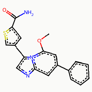 COc1cc(-c2ccccc2)cc2ncc(-c3csc(C(N)=O)c3)n12